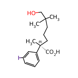 CC(C)(CO)CCC[C@@](C)(C(=O)O)c1cccc(I)c1